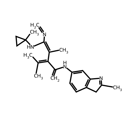 C=N/C(NC1(C)CC1)=C(\C)C(C(=C)Nc1ccc2c(c1)N=C(C)C2)=C(C)C